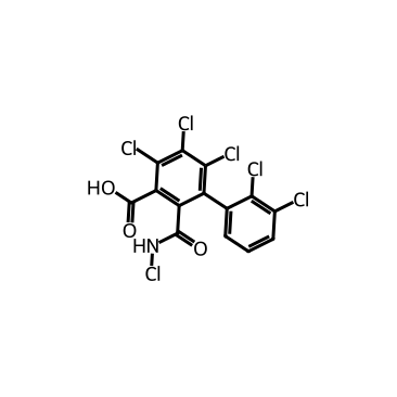 O=C(O)c1c(Cl)c(Cl)c(Cl)c(-c2cccc(Cl)c2Cl)c1C(=O)NCl